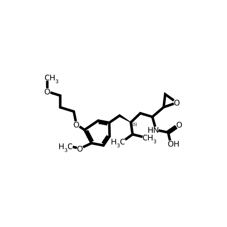 COCCCOc1cc(C[C@@H](CC(NC(=O)O)C2CO2)C(C)C)ccc1OC